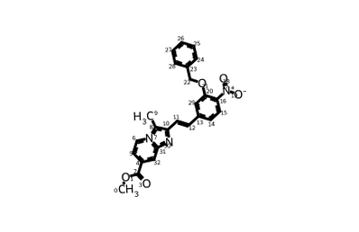 COC(=O)c1ccn2c(C)c(C=Cc3ccc([N+](=O)[O-])c(OCc4ccccc4)c3)nc2c1